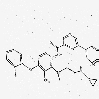 CN(CCNC1CC1)c1c(NC(=O)c2cncc(-c3ccnnc3)n2)ccc(Oc2ccccc2F)c1C(F)(F)F